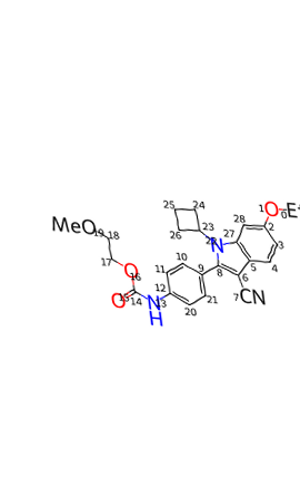 CCOc1ccc2c(C#N)c(-c3ccc(NC(=O)OCCOC)cc3)n(C3CCC3)c2c1